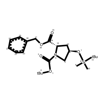 CC(C)(C)OC(=O)N1C[C@H](O[Si](C)(C)C(C)(C)C)C[C@H]1C(=O)OCc1ccccc1